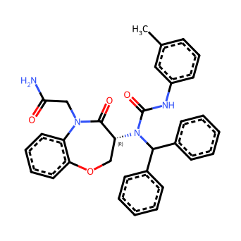 Cc1cccc(NC(=O)N(C(c2ccccc2)c2ccccc2)[C@@H]2COc3ccccc3N(CC(N)=O)C2=O)c1